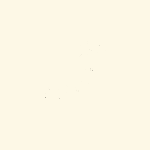 c1ccc(-n2c3ccccc3c3ccc(-c4cc5c(cn4)oc4cnc(-c6ccc7c8ncncc8n(-c8ccccc8)c7c6)cc45)cc32)cc1